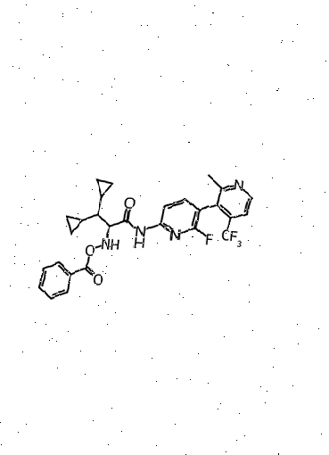 Cc1nccc(C(F)(F)F)c1-c1ccc(NC(=O)[C@@H](NOC(=O)c2ccccc2)C(C2CC2)C2CC2)nc1F